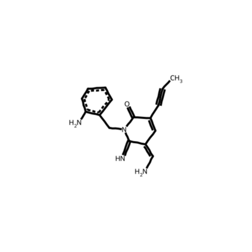 CC#CC1=C/C(=C/N)C(=N)N(Cc2ccccc2N)C1=O